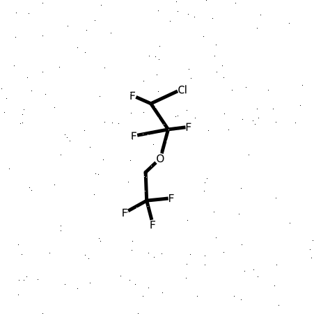 FC(Cl)C(F)(F)OCC(F)(F)F